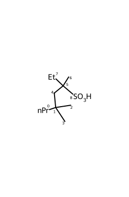 CCCC(C)(C)CC(C)(CC)S(=O)(=O)O